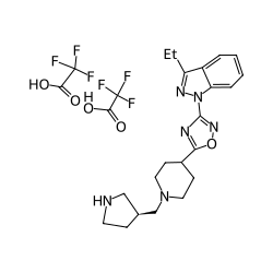 CCc1nn(-c2noc(C3CCN(C[C@H]4CCNC4)CC3)n2)c2ccccc12.O=C(O)C(F)(F)F.O=C(O)C(F)(F)F